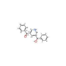 O=C(c1ccccc1)c1cncc(C(=O)c2ccccc2)c1